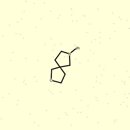 CC(C)N1CCC2(CCOC2)C1